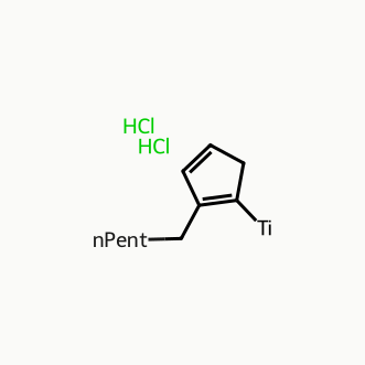 CCCCCCC1=[C]([Ti])CC=C1.Cl.Cl